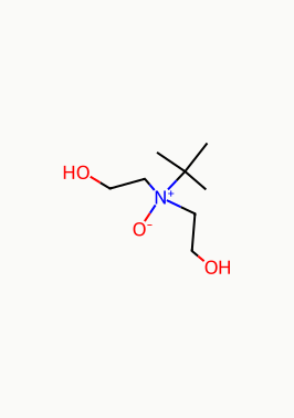 CC(C)(C)[N+]([O-])(CCO)CCO